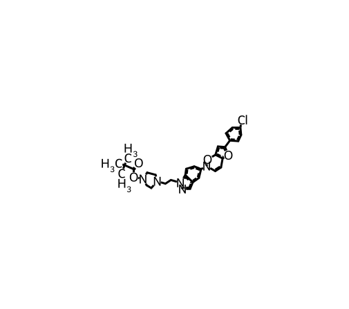 CC(C)(C)C(=O)ON1CCN(CCn2ncc3cc(N4C=Cc5oc(-c6ccc(Cl)cc6)cc5O4)ccc32)CC1